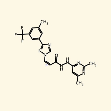 Cc1cc(-c2ncn(/C=C\C(=O)NNc3cc(C)nc(C)n3)n2)cc(C(F)(F)F)c1